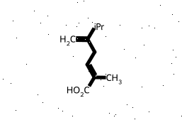 C=C(CC=C(C)C(=O)O)C(C)C